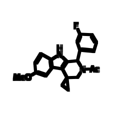 COc1ccc2[nH]c3c(c2c1)C1(CC1)CN(C(C)=O)C3c1cccc(F)c1